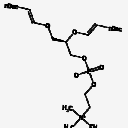 CCCCCCCCCCC=COC[C@H](COP(=O)([O-])OCC[N+](C)(C)C)OC=CCCCCCCCCCC